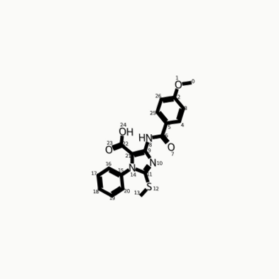 COc1ccc(C(=O)Nc2nc(SC)n(-c3ccccc3)c2C(=O)O)cc1